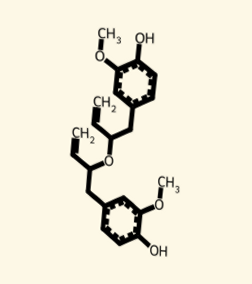 C=CC(Cc1ccc(O)c(OC)c1)OC(C=C)Cc1ccc(O)c(OC)c1